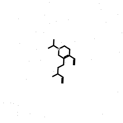 C=CC1=C(CCC(C)C=C)CN(C(C)C)CC1